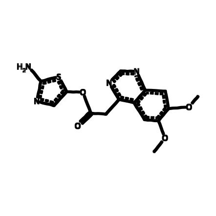 COc1cc2ncnc(CC(=O)Oc3cnc(N)s3)c2cc1OC